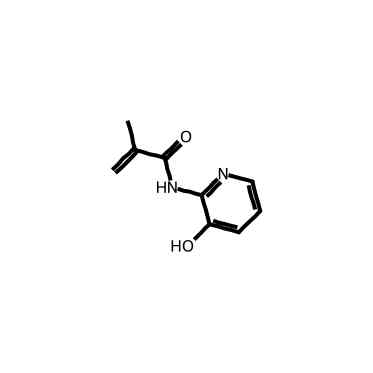 C=C(C)C(=O)Nc1ncccc1O